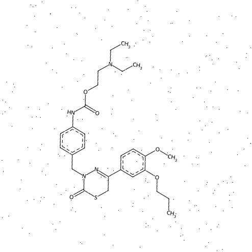 CCCOc1cc(C2=NN(Cc3ccc(NC(=O)OCCN(CC)CC)cc3)C(=O)SC2)ccc1OC